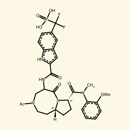 COc1ccccc1N(C)C(=O)[C@@H]1CC[C@@H]2CCN(C(C)=O)CC(NC(=O)c3cc4cc(C(F)(F)P(=O)(O)O)ccc4[nH]3)C(=O)N21